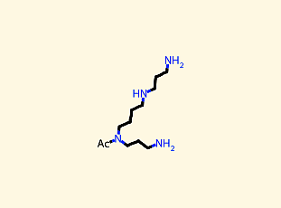 CC(=O)N(CCCN)CCCCNCCCN